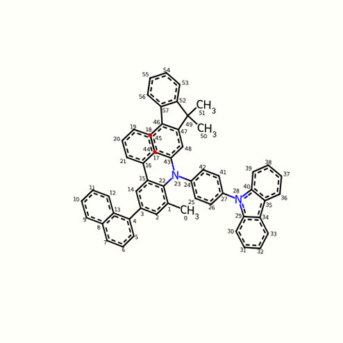 Cc1cc(-c2cccc3ccccc23)cc(-c2ccccc2)c1N(c1ccc(-n2c3ccccc3c3ccccc32)cc1)c1ccc2c(c1)C(C)(C)c1ccccc1-2